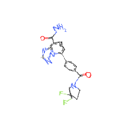 NC(=O)c1ccc(-c2ccc(C(=O)N3CCC(F)(F)C3)cc2)n2n[c]nc12